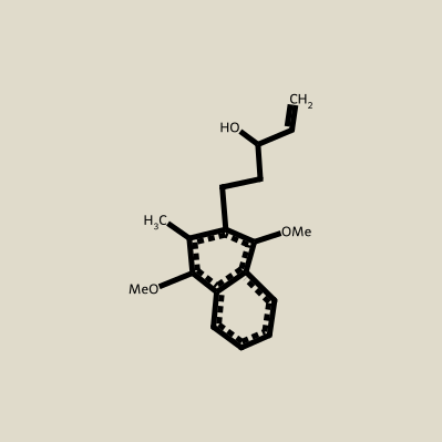 C=CC(O)CCc1c(C)c(OC)c2ccccc2c1OC